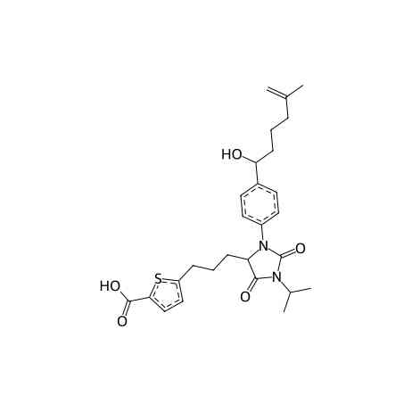 C=C(C)CCCC(O)c1ccc(N2C(=O)N(C(C)C)C(=O)C2CCCc2ccc(C(=O)O)s2)cc1